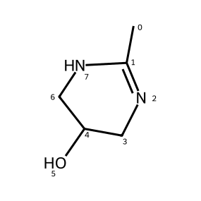 CC1=NCC(O)CN1